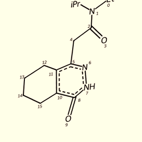 CCN(C(=O)Cc1n[nH]c(=O)c2c1CCCC2)C(C)C